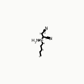 CCCCCN(N)C(C#N)CC#N